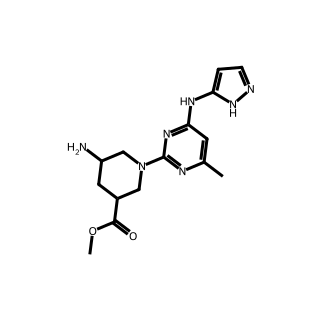 COC(=O)C1CC(N)CN(c2nc(C)cc(Nc3ccn[nH]3)n2)C1